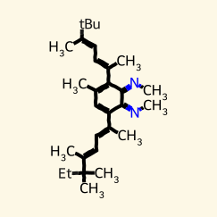 CCC(C)(C)/C(C)=C/C=C(\C)C1=CC(C)=C(/C(C)=C/C=C(\C)C(C)(C)C)C(=N/C)/C1=N\C